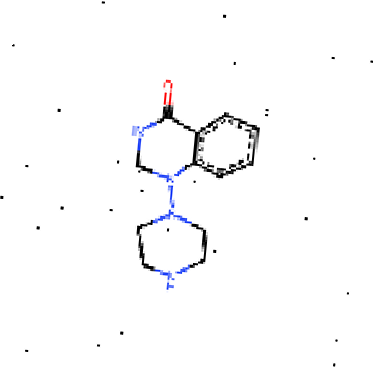 O=C1NCN(N2CCNCC2)c2ccccc21